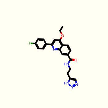 CCOc1cc(-c2ccc(F)cc2)nc2cc(C(=O)NCCc3cnn[nH]3)ccc12